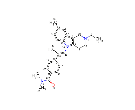 CCN1CCc2c(c3cc(C)ccc3n2/C=C(\C)c2ccc(C(=O)N(C)C)cc2)C1